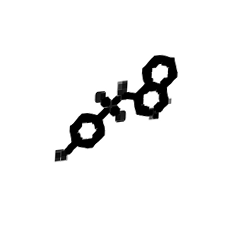 CCc1ccc(S(=O)(=O)Nc2cn[c]c3ccccc23)cc1